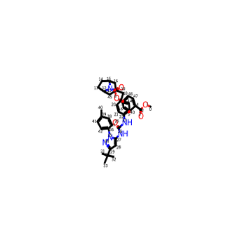 COC(=O)c1ccc(OC(=O)N2C3CCC2CC(Cc2ccc(NC(=O)Nc4cc(C(C)(C)C)nn4-c4ccc(C)cc4)cc2)C3)cc1